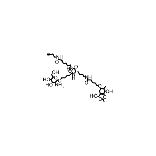 C#CCCNC(=O)CCCCCNC(=O)[C@@H](CCCCNC(=O)CCCCOC1CC(CO)C(OC(C)=O)C(O)C1C)NC(=O)CCCCOC1OC(CO)C(O)C(O)C1N